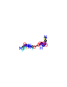 Cc1ncsc1-c1ccc(CNC(=O)C2CCCN2C(=O)C(NC(=O)COCCCCOc2ccc(-c3ncc(N4C(=S)N(c5ccc(C#N)c(C(F)(F)F)c5F)C(=O)C4(C)C)cn3)cc2F)C(C)(C)C)cc1